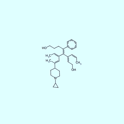 C\C=C/C(=C\CO)C(=C(/CCCO)c1ccccc1)/C(=C/C)/C=C(\C)C1CCN(C2CC2)CC1